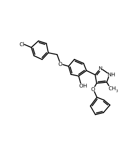 Cc1[nH]nc(-c2ccc(OCc3ccc(Cl)cc3)cc2O)c1Oc1ccccc1